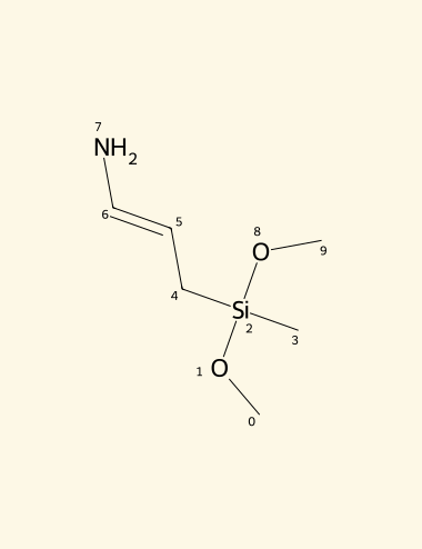 CO[Si](C)(CC=CN)OC